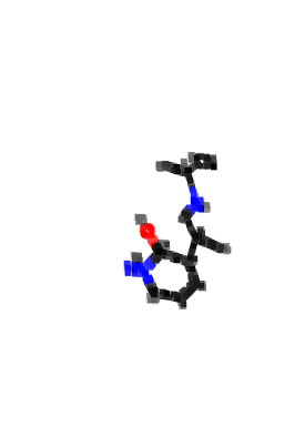 C=C(C#N)/N=C/C(=C)c1ccc[nH]c1=O